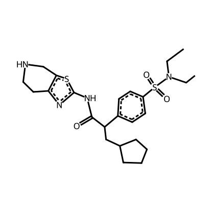 CCN(CC)S(=O)(=O)c1ccc(C(CC2CCCC2)C(=O)Nc2nc3c(s2)CNCC3)cc1